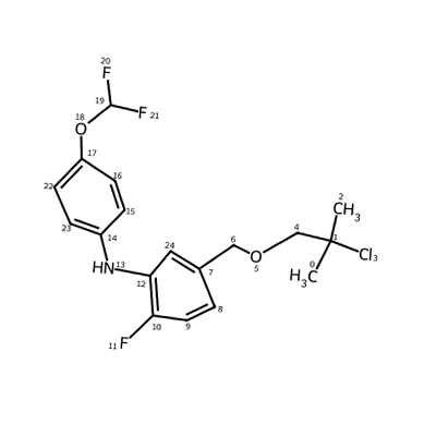 CC(C)(Cl)COCc1ccc(F)c(Nc2ccc(OC(F)F)cc2)c1